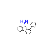 NCc1ccccc1-c1cccc2c1Cc1ccccc1-2